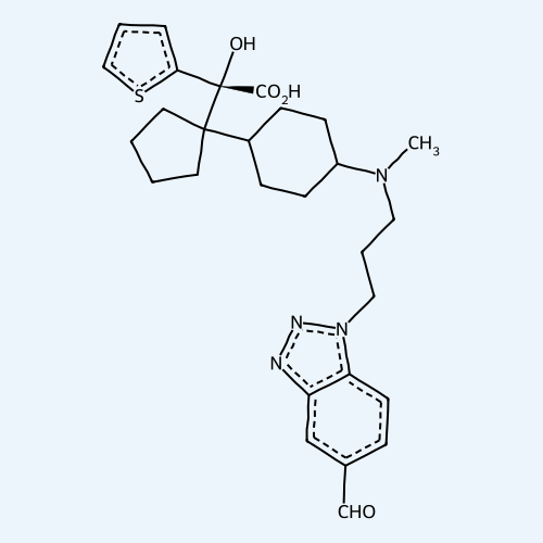 CN(CCCn1nnc2cc(C=O)ccc21)C1CCC(C2([C@](O)(C(=O)O)c3cccs3)CCCC2)CC1